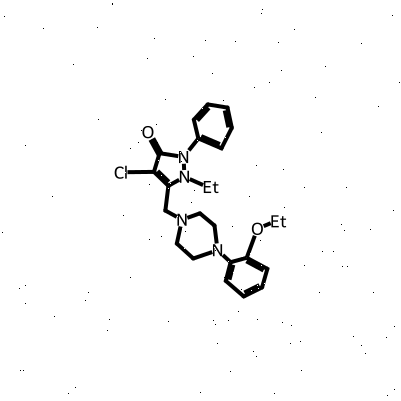 CCOc1ccccc1N1CCN(Cc2c(Cl)c(=O)n(-c3ccccc3)n2CC)CC1